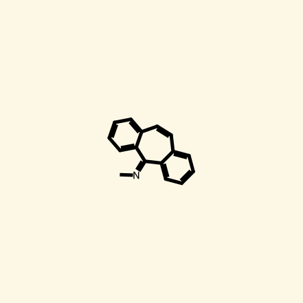 CN=c1c2ccccc2ccc2ccccc12